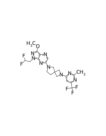 COc1nn(CC(F)F)c2nc(N3CCC4(CN(c5cc(C(F)(F)F)nc(C)n5)C4)C3)cnc12